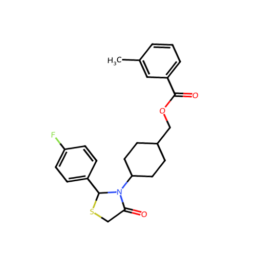 Cc1cccc(C(=O)OCC2CCC(N3C(=O)CSC3c3ccc(F)cc3)CC2)c1